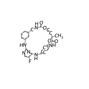 CC12CCOC(=O)NCc3cccc(c3)Nc3ncc(F)c(n3)Nc3ccc(c(c3)NC1=O)O2